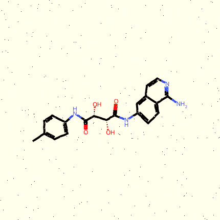 Cc1ccc(NC(=O)[C@H](O)[C@@H](O)C(=O)Nc2ccc3c(N)nccc3c2)cc1